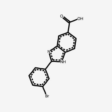 O=C(O)c1ccc2[nH]c(-c3cccc(Br)c3)nc2c1